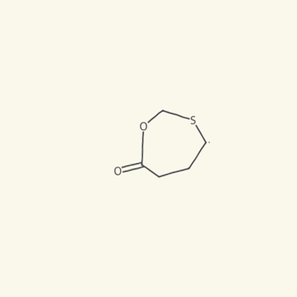 O=C1CC[CH]SCO1